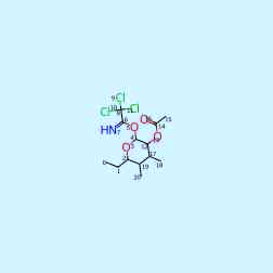 CCC1OC(OC(=N)C(Cl)(Cl)Cl)C(OC(C)=O)C(C)C1C